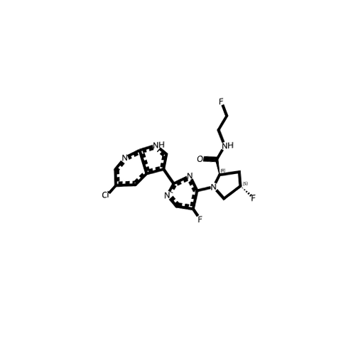 O=C(NCCF)[C@H]1C[C@H](F)CN1c1nc(-c2c[nH]c3ncc(Cl)cc23)ncc1F